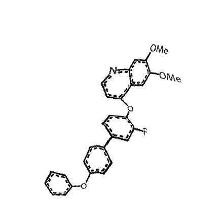 COc1cc2nccc(Oc3ccc(-c4ccc(Oc5ccccc5)cc4)cc3F)c2cc1OC